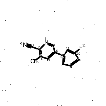 N#Cc1ncc(-c2cccc(F)c2)cc1Cl